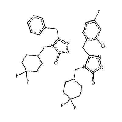 O=c1onc(Cc2ccc(F)cc2Cl)n1CC1CCC(F)(F)CC1.O=c1onc(Cc2ccccc2)n1CC1CCC(F)(F)CC1